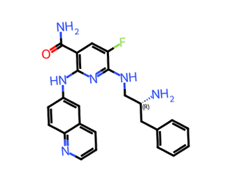 NC(=O)c1cc(F)c(NC[C@H](N)Cc2ccccc2)nc1Nc1ccc2ncccc2c1